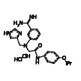 CC(C)Oc1ccc(NC(=O)CN(Cc2c[nH]cn2)c2cccc(C(=N)N)c2)cc1.Cl.Cl